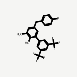 Cc1cc(Cc2ccc(F)cc2)cc(-c2cc(C(F)(F)F)cc(C(F)(F)F)c2)c1O